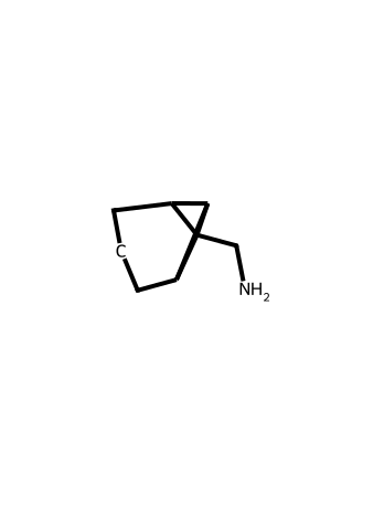 NCC12C3CCCC1C32